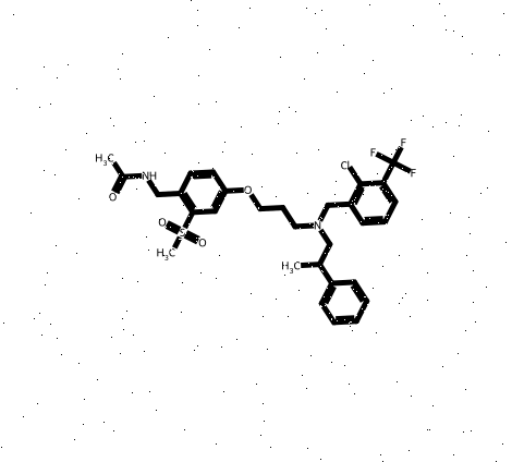 CC(=O)NCc1ccc(OCCCN(Cc2cccc(C(F)(F)F)c2Cl)CC(C)c2ccccc2)cc1S(C)(=O)=O